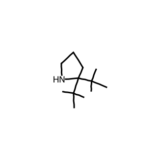 CC(C)(C)C1(C(C)(C)C)CCCN1